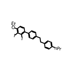 CCCc1ccc(CCc2ccc(-c3ccc(OCC)c(I)c3I)cc2)cc1